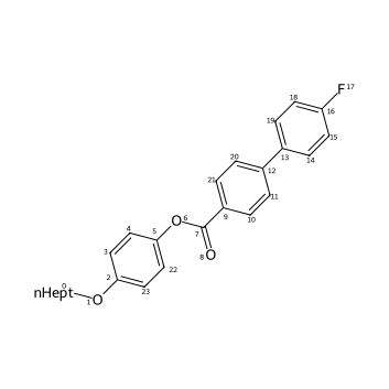 CCCCCCCOc1ccc(OC(=O)c2ccc(-c3ccc(F)cc3)cc2)cc1